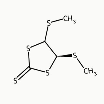 CSC1SC(=S)S[C@@H]1SC